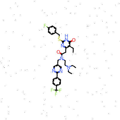 CCc1c(CC(=O)N(CCN(CC)CC)Cc2cnc(-c3ccc(C(F)(F)F)cc3)nc2)nc(SCc2ccc(F)cc2)[nH]c1=O